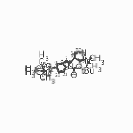 CN(C)c1cc(-c2cc3cc(B4OC(C)(C)C(C)(C)O4)ccc3n2C(=O)OC(C)(C)C)ccn1